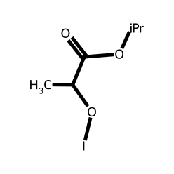 CC(C)OC(=O)C(C)OI